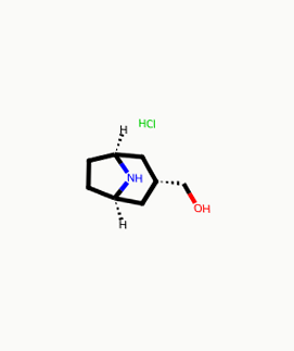 Cl.OC[C@@H]1C[C@H]2CC[C@@H](C1)N2